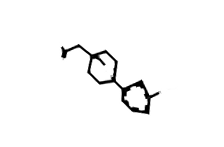 O=C(O)CC12CCC(c3cccc(O)c3)(CC1)OC2